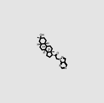 C[C@@]1(O)CC[C@H]2[C@H](CC[C@@H]3[C@@H]2CC[C@]2(C)[C@@H](C(=O)Cn4ncc5cncnc54)CC[C@@H]32)C1